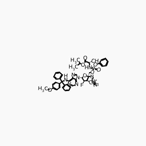 COc1ccc(C(Nc2ncnc3c2ncn3[C@@H]2O[C@@](COP(=O)(N[C@@H](C)C(=O)OC(C)C)Oc3ccccc3)(N=[N+]=[N-])[C@@H](C)[C@H]2F)(c2ccccc2)c2ccccc2)cc1